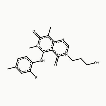 Cc1c(=O)n(C)c(Nc2ccc(I)cc2F)c2c(=O)n(CCCO)cnc12